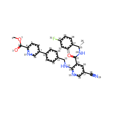 COC(=O)c1ccc(-c2ccc(CNc3ncc(C#N)cc3C(=O)N[C@@H](C)c3ccc(F)cc3)cc2)cn1